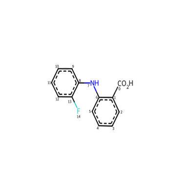 O=C(O)c1ccccc1Nc1ccccc1F